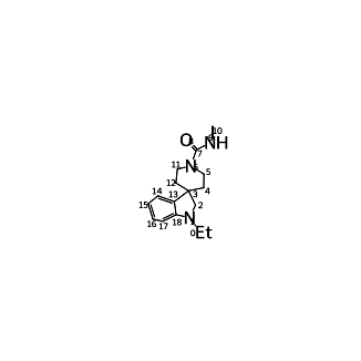 CCN1CC2(CCN(C(=O)NI)CC2)c2ccccc21